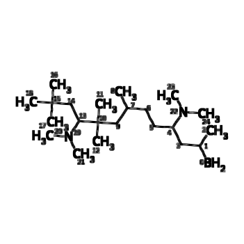 BC(C)CC(CCC(C)CC(C)(C)C(CC(C)(C)C)N(C)C)N(C)C